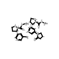 CC(C)(C)OC(=O)N1OCC[C@H]1c1cncc(Br)c1.CC(C)(C)OC(=O)N1OCC[C@H]1c1cncc(N2CCCC2=O)c1